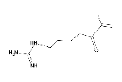 C=C(C)C(=O)CCCCNC(=N)N